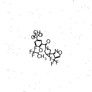 CC(Oc1ccc(S(C)(=O)=O)cc1C(=O)N1CC2CC2(c2nocc2C(F)(F)F)C1)C(F)(F)F